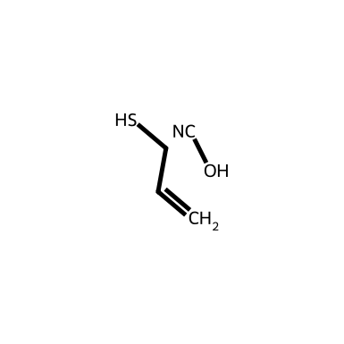 C=CCS.N#CO